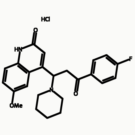 COc1ccc2[nH]c(=O)cc(C(CC(=O)c3ccc(F)cc3)N3CCCCC3)c2c1.Cl